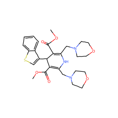 COC(=O)C1=C(CN2CCOCC2)NC(CN2CCOCC2)=C(C(=O)OC)C1c1csc2ccccc12